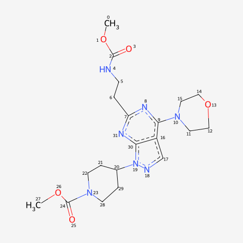 COC(=O)NCCc1nc(N2CCOCC2)c2cnn(C3CCN(C(=O)OC)CC3)c2n1